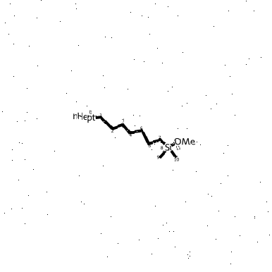 CCCCCCCCCCCCCC[Si](C)(C)OC